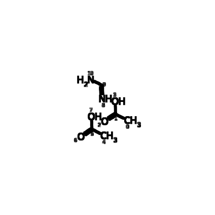 CC(=O)O.CC(=O)O.N=CN